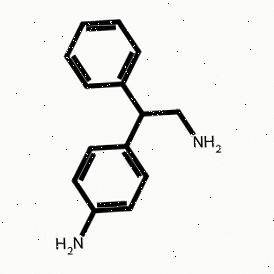 NCC(c1ccccc1)c1ccc(N)cc1